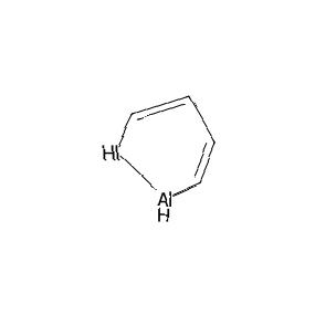 C1=[CH][AlH][IH]C=C1